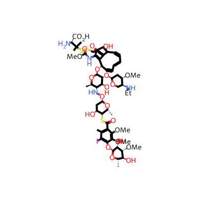 CCN[C@H]1CO[C@@H](O[C@H]2[C@H](O[C@H]3C#C/C=C/C#C[C@]4(O)CC(=O)C(NC(=O)OC)=C3/C4=C\CSSC(C)(C)[C@H](N)C(=O)O)O[C@H](C)[C@@H](NO[C@H]3C[C@H](O)[C@H](SC(=O)c4c(C)c(I)c(O[C@@H]5O[C@@H](C)[C@H](O)[C@@H](OC)[C@H]5O)c(OC)c4OC)[C@@H](C)O3)[C@@H]2O)C[C@@H]1OC